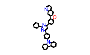 c1ccc(-c2nc(-c3ccc(-n4c5ccccc5c5ccccc54)cc3)cc(-c3ccc4oc5cc6cccnc6cc5c4c3)n2)cc1